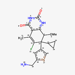 COC1c2[nH]c(=O)[nH]c(=O)c2C(C)=C(F)C1(c1csc(CN)c1)C1CC1